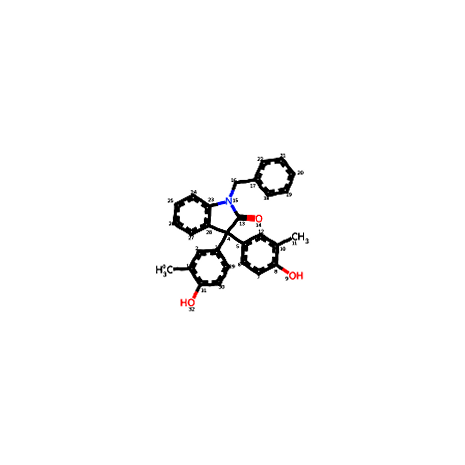 Cc1cc(C2(c3ccc(O)c(C)c3)C(=O)N(Cc3ccccc3)c3ccccc32)ccc1O